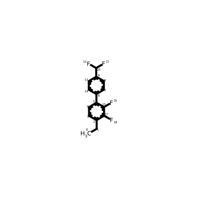 CCc1ccc(-c2ccc(C(F)F)cc2)c(F)c1F